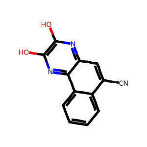 N#Cc1cc2nc(O)c(O)nc2c2ccccc12